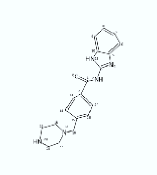 O=C(Nc1nc2ccccc2[nH]1)c1ccc(CN2CCNCC2)cc1